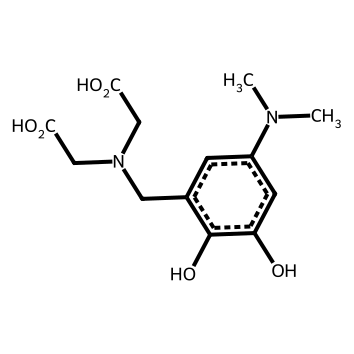 CN(C)c1cc(O)c(O)c(CN(CC(=O)O)CC(=O)O)c1